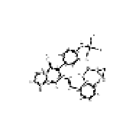 O=c1c(-c2ccc(OC(F)(F)F)cc2)c(/C=C/c2cccc(F)c2OCC2CC2)nc2sccn12